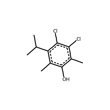 Cc1c(O)c(C)c(C(C)C)c(Cl)c1Cl